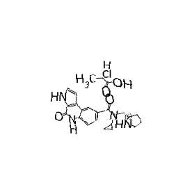 CCC(=O)O.Cl.O=C(c1ccc2[nH]c(=O)c3[nH]ccc3c2c1)N(C[C@@H]1CCCN1)C1CC1